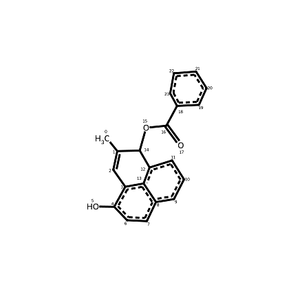 CC1=Cc2c(O)ccc3cccc(c23)C1OC(=O)c1ccccc1